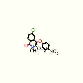 Cn1c(C(=O)O)c(Oc2ccc([N+](=O)[O-])cc2)c2cc(Cl)ccc2c1=O